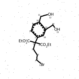 CCOC(=O)C(CCCBr)(C(=O)OCC)c1ccc(CO)c(CO)c1